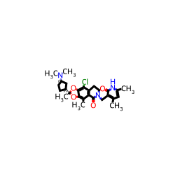 Cc1cc(C)c(CN2CCc3c(Cl)c4c(c(C)c3C2=O)OC(C)([C@@H]2CC[C@H](N(C)C)C2)O4)c(=O)[nH]1